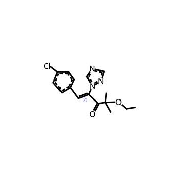 CCOC(C)(C)C(=O)/C(=C/c1ccc(Cl)cc1)n1cncn1